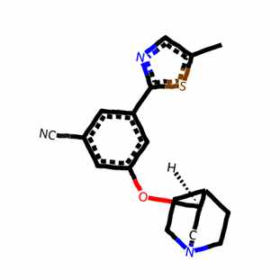 Cc1cnc(-c2cc(C#N)cc(O[C@@H]3CN4CCC3CC4)c2)s1